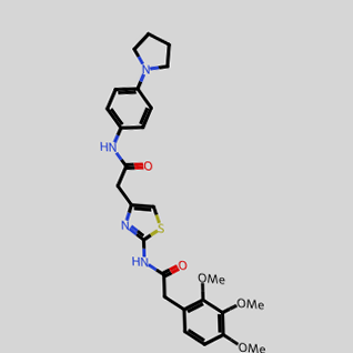 COc1ccc(CC(=O)Nc2nc(CC(=O)Nc3ccc(N4CCCC4)cc3)cs2)c(OC)c1OC